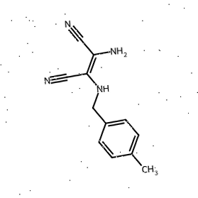 Cc1ccc(CNC(C#N)=C(N)C#N)cc1